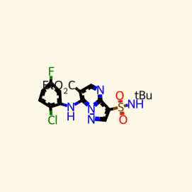 CCOC(=O)c1cnc2c(S(=O)(=O)NC(C)(C)C)cnn2c1Nc1cc(F)ccc1Cl